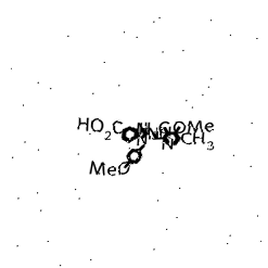 COc1ccc(Cn2c(NCc3ncc(C)c(OC)c3C)nc3cc(C(=O)O)ccc32)cc1